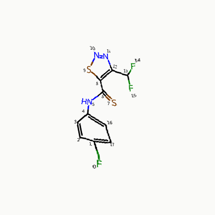 Fc1ccc(NC(=S)c2snnc2C(F)F)cc1